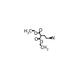 C=COC(=O)C(CCC#N)C(=O)OC=C